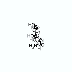 C[C@@]1(F)[C@H](OC[C@H]2O[C@@H](n3cnc4c(=O)[nH]c(N)nc43)[C@H](O)[C@@H]2O)OC[C@H]1O